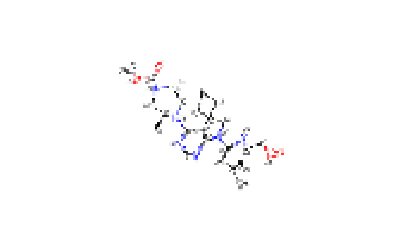 C[C@@H]1CN(c2ncnc3c2C2(CCC2)CN3c2cc(C#N)cc(CO)n2)[C@@H](C)CN1C(=O)OC(C)(C)C